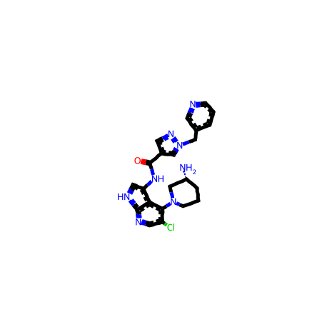 N[C@@H]1CCCN(c2c(Cl)cnc3[nH]cc(NC(=O)c4cnn(Cc5cccnc5)c4)c23)C1